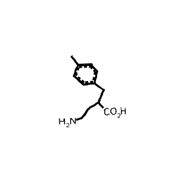 Cc1ccc(CC(CCN)C(=O)O)cc1